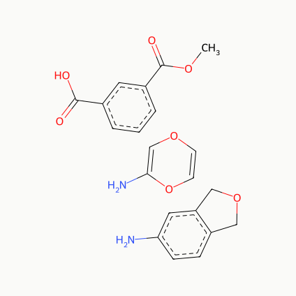 COC(=O)c1cccc(C(=O)O)c1.NC1=COC=CO1.Nc1ccc2c(c1)COC2